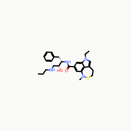 CCCNC[C@@H](O)[C@H](Cc1ccccc1)NC(=O)c1cc2c3c(cn(CC)c3c1)CCSN2C